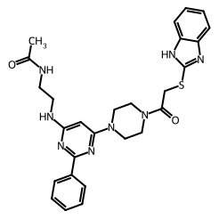 CC(=O)NCCNc1cc(N2CCN(C(=O)CSc3nc4ccccc4[nH]3)CC2)nc(-c2ccccc2)n1